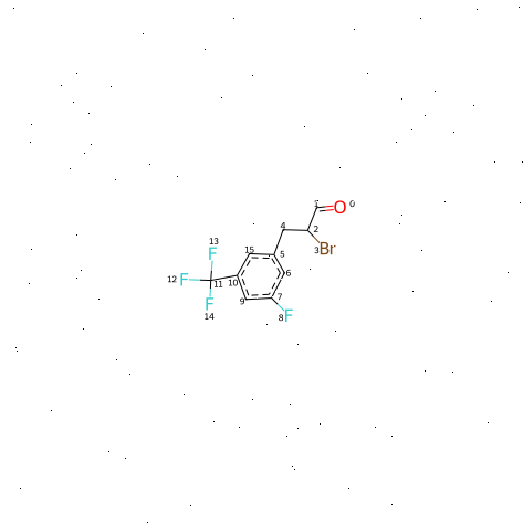 O=CC(Br)Cc1cc(F)cc(C(F)(F)F)c1